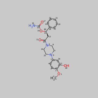 COc1ccc(N2CCN(C(=O)C[C@@H](OC(N)=O)c3ccccc3)CC2)cc1O